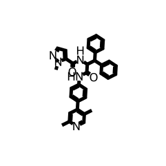 Cc1cc(-c2ccc(NC(=O)C(NC(=O)c3ccnn3C)C(c3ccccc3)c3ccccc3)cc2)c(C)cn1